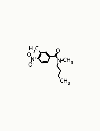 CCCCN(C)C(=O)c1ccc([N+](=O)[O-])c(C)c1